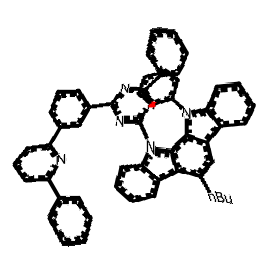 CCCCc1cc2c3ccccc3n(-c3ccccc3)c2c2c1c1ccccc1n2-c1nc(-c2ccccc2)nc(-c2cccc(-c3cccc(-c4ccccc4)n3)c2)n1